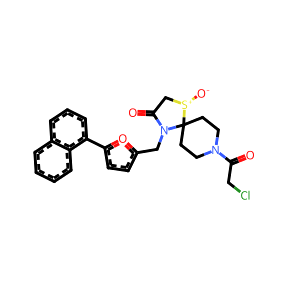 O=C(CCl)N1CCC2(CC1)N(Cc1ccc(-c3cccc4ccccc34)o1)C(=O)C[S+]2[O-]